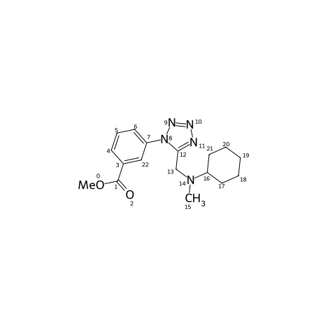 COC(=O)c1cccc(-n2nnnc2CN(C)C2CCCCC2)c1